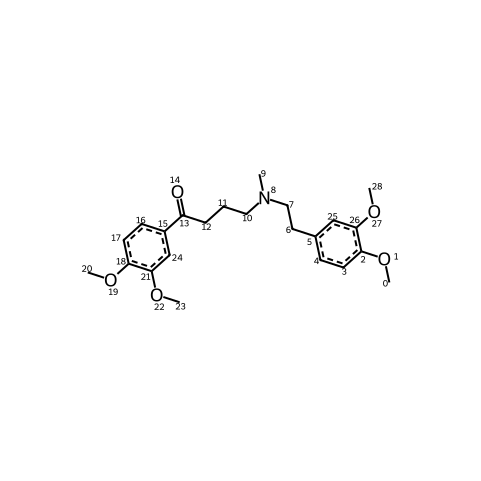 COc1ccc(CCN(C)CCCC(=O)c2ccc(OC)c(OC)c2)cc1OC